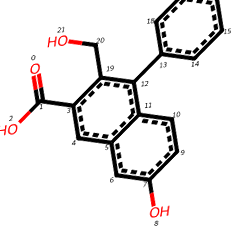 O=C(O)c1cc2cc(O)ccc2c(-c2ccccc2)c1CO